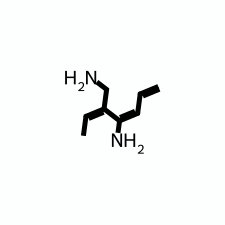 C=C/C=C(N)\C(=C/C)CN